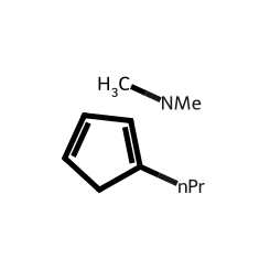 CCCC1=CC=CC1.CNC